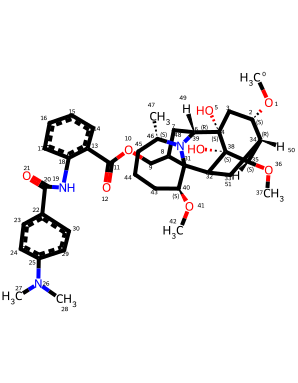 CO[C@H]1C[C@]2(O)[C@H]3CC(COC(=O)c4ccccc4NC(=O)c4ccc(N(C)C)cc4)C4(C5C[C@H]1[C@H](OC)[C@@]52O)[C@@H](OC)CCC[C@H](C)N34